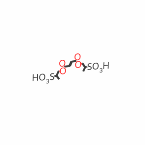 CC(COC(=O)C=CC(=O)OCC(C)S(=O)(=O)O)S(=O)(=O)O